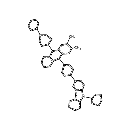 Cc1cc2c(-c3ccc(-c4ccccc4)cc3)c3ccccc3c(-c3ccc(-c4ccc5c(c4)c4ccccc4n5-c4ccccc4)cc3)c2cc1C